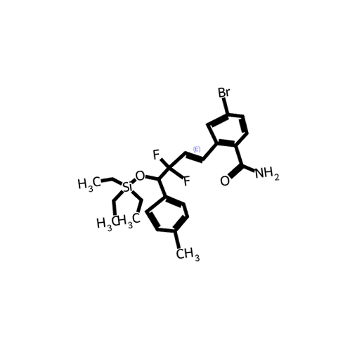 CC[Si](CC)(CC)OC(c1ccc(C)cc1)C(F)(F)/C=C/c1cc(Br)ccc1C(N)=O